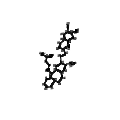 O=C([O-])CCOC1c2ccccc2C=Cc2ccc(C=Cc3ccc4cc(F)c(Cl)cc4n3)cc21.[Na+]